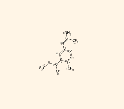 N/C(=N/c1ccc(C(F)(F)F)c([S+]([O-])CC(F)(F)F)c1)C(F)(F)F